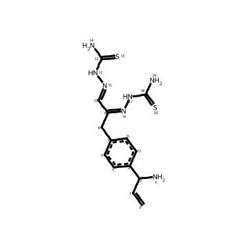 C=CC(N)c1ccc(CC(C=NNC(N)=S)=NNC(N)=S)cc1